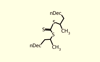 CCCCCCCCCCCC(C)SC(=S)SC(C)CCCCCCCCCCC